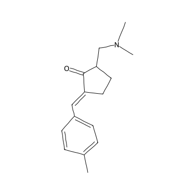 Cc1ccc(/C=C2\CCC(CN(C)C)C2=O)cc1